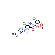 CCS(=O)(=O)c1ccc(Cl)cc1Cn1cnc2c(Cl)c(CN3CCN(C(=O)O)CC3)c(C(F)(F)F)cc2c1=O